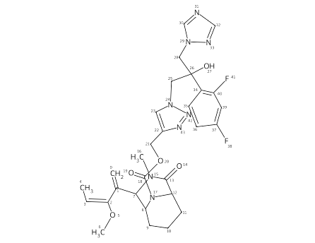 C=C(/C(=C\C)OC)C1C2CCCC(C(=O)N1C)N2C(=O)OCc1cn(CC(O)(Cn2cncn2)c2ccc(F)cc2F)nn1